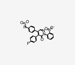 O=c1c(-c2ccc(F)cc2)c(-c2ccc(C[SH](=O)=O)cc2)cnn1-c1ccccc1[N+](=O)[O-]